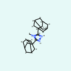 Cn1c(C23CC4CC(CC(C4)C2)C3)nnc1C12CC3CC(CC(C3)C1)C2